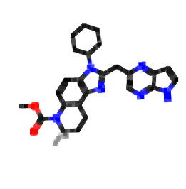 COC(=O)N1c2ccc3c(nc(Cc4cnc5[nH]ccc5n4)n3C3CCCCC3)c2CC[C@@H]1C